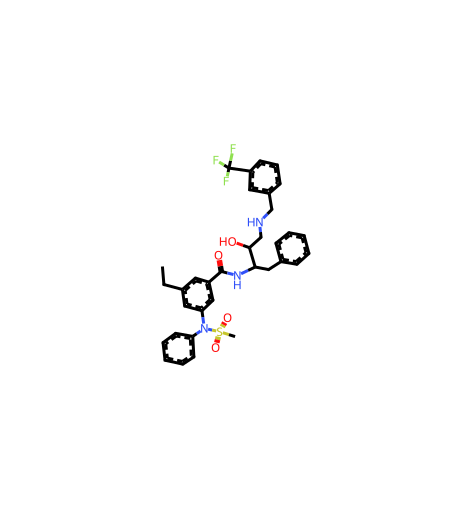 CCc1cc(C(=O)NC(Cc2ccccc2)C(O)CNCc2cccc(C(F)(F)F)c2)cc(N(c2ccccc2)S(C)(=O)=O)c1